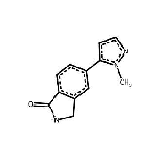 Cn1nccc1-c1ccc2c(c1)CNC2=O